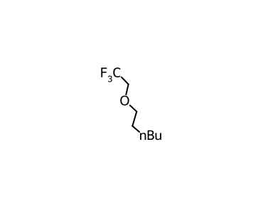 [CH2]CCCCCOCC(F)(F)F